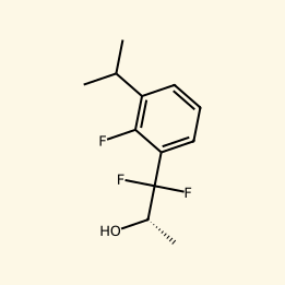 CC(C)c1cccc(C(F)(F)[C@H](C)O)c1F